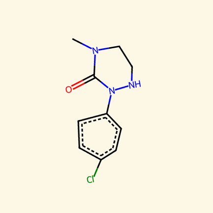 CN1CCNN(c2ccc(Cl)cc2)C1=O